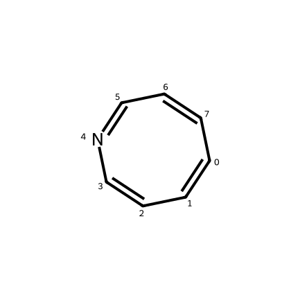 C1=C\C=C/N=C\C=C/1